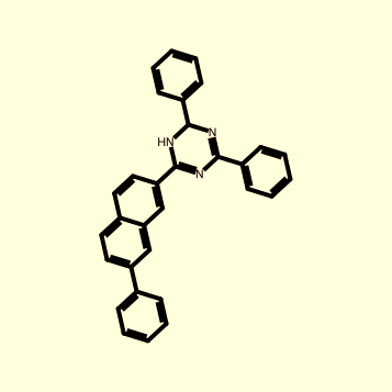 c1ccc(C2=NC(c3ccccc3)NC(c3ccc4ccc(-c5ccccc5)cc4c3)=N2)cc1